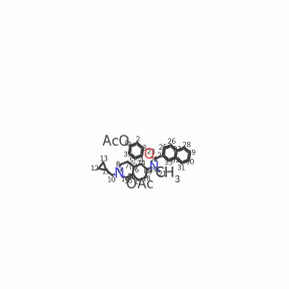 CC(=O)Oc1cccc([C@@]23CCN(CC4CC4)C[C@@]2(OC(C)=O)CC[C@H](N(C)C(=O)c2ccc4ccccc4c2)C3)c1